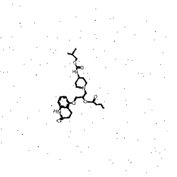 CCCC(=O)OC(COc1cccc2c1CCC(=O)N2)CN1CCC(NC(=O)OCC(C)C)CC1